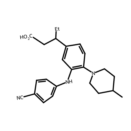 CCC(CC(=O)O)c1ccc(N2CCC(C)CC2)c(Nc2ccc(C#N)cc2)c1